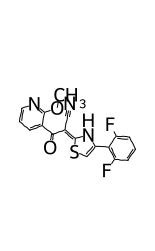 COc1ncccc1C(=O)C(C#N)=C1NC(c2c(F)cccc2F)=CS1